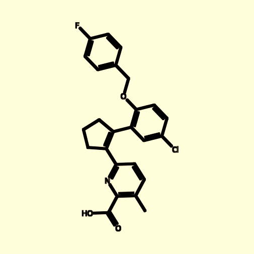 Cc1ccc(C2=C(c3cc(Cl)ccc3OCc3ccc(F)cc3)CCC2)nc1C(=O)O